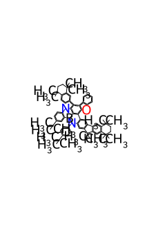 CC(C)(C)c1ccc(N2B3c4cc(C(C)(C)C)ccc4-n4c5cc6c(cc5c5c7c(oc8ccccc87)c(c3c54)-c3cc4c(cc32)C(C)(C)c2cc3c(cc2-4)C(C)(C)CCC3(C)C)C(C)(C)CCC6(C)C)cc1